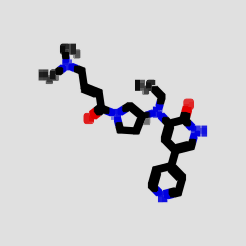 CCN(c1cc(-c2ccncc2)c[nH]c1=O)[C@H]1CCN(C(=O)C=CCN(C)C)C1